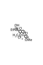 CCN1CN(c2cc(O[C@@H](C)C(F)(F)F)c3c(Oc4cc(OC)ncc4Cl)nccc3c2Cl)N=C1CO